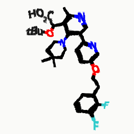 Cc1ncc(-c2ccc(OCCc3cccc(F)c3F)cn2)c(N2CCC(C)(C)CC2)c1C(OC(C)(C)C)C(=O)O